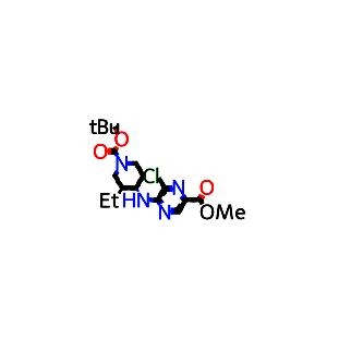 CC[C@H]1CN(C(=O)OC(C)(C)C)CC[C@@H]1Nc1ncc(C(=O)OC)nc1Cl